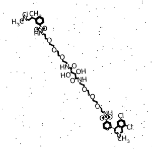 C[C@@H](CN(C)Cl)c1cccc(S(=O)(=O)NCCOCCOCCOCCNC(=O)[C@H](O)[C@@H](O)C(=O)NCCOCCOCCOCCNS(=O)(=O)c2cccc([C@@H]3CN(C)Cc4c(Cl)cc(Cl)cc43)c2)c1